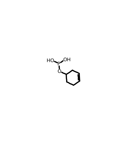 OP(O)OC1CC=CCC1